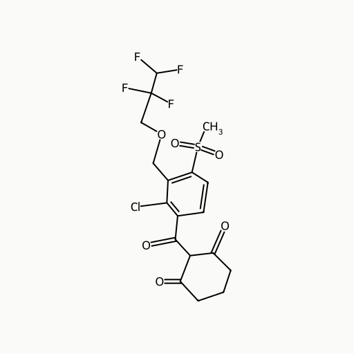 CS(=O)(=O)c1ccc(C(=O)C2C(=O)CCCC2=O)c(Cl)c1COCC(F)(F)C(F)F